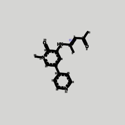 CC(=O)/C=C(\C)Nc1cc(-c2ccncc2)cn(C)c1=O